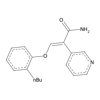 CCCCc1ccccc1OC=C(C(N)=O)c1cccnc1